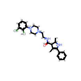 CC1=C(c2ccccc2)NC(C)C1C(=O)NCCN1CCN(c2cccc(Cl)c2Cl)CC1